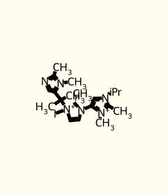 Cc1ncc(C(C)(C)[N+]2(I)C=CN(c3cn(C(C)C)c(C)[n+]3C)[C@H]2C)n1C